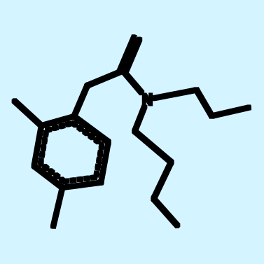 C=C(Cc1ccc(C)cc1C)N(CCC)CCCC